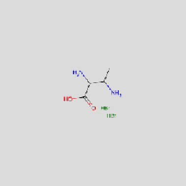 Br.Br.CC(N)C(N)C(=O)O